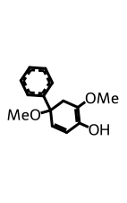 COC1=C(O)C=CC(OC)(c2ccccc2)C1